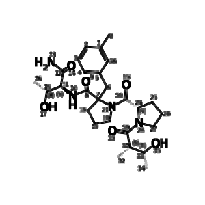 Cc1cccc(CC2(C(=O)N[C@H](C(N)=O)[C@@H](C)O)CCCN2C(=O)[C@@H]2CCCN2C(=O)[C@@H](C)[C@@H](C)O)c1